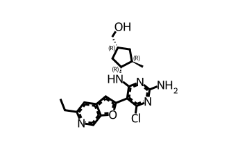 CCc1cc2cc(-c3c(Cl)nc(N)nc3N[C@@H]3C[C@H](CO)C[C@H]3C)oc2cn1